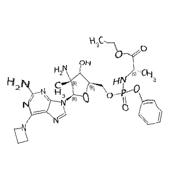 CCOC(=O)[C@H](C)NP(=O)(OC[C@H]1O[C@@H](n2cnc3c(N4CCC4)nc(N)nc32)[C@](C)(N)C1O)Oc1ccccc1